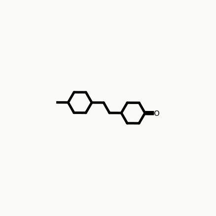 CC1CCC(CCC2CCC(=O)CC2)CC1